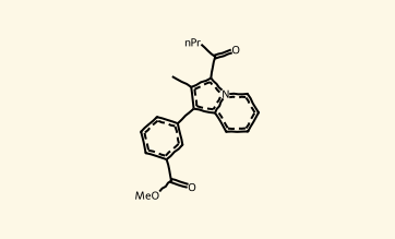 C[CH]CC(=O)c1c(C)c(-c2cccc(C(=O)OC)c2)c2ccccn12